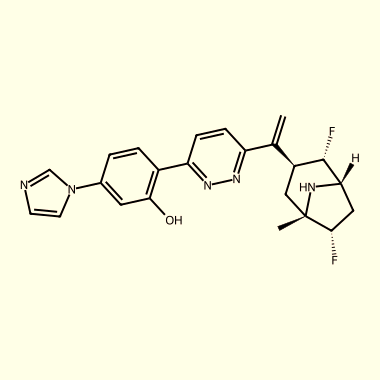 C=C(c1ccc(-c2ccc(-n3ccnc3)cc2O)nn1)[C@@H]1C[C@]2(C)N[C@@H](C[C@@H]2F)[C@H]1F